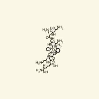 COc1cccc(C[C@H](NC(=O)[C@@H]2CCCN2C(=O)[C@@H](CCCN)NC(=O)CNC(=O)[C@H](CCN)NC(=O)C[C@@H](O)CN)C(=O)N[C@@H](CCCCN)C(=O)N/C(=C\CCNC(=N)N)C(=O)O)c1